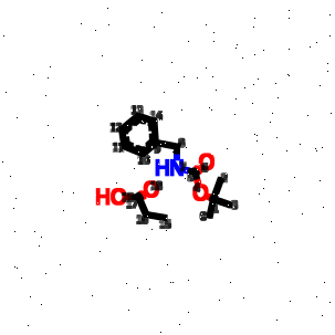 CC(C)(C)OC(=O)NCc1ccccc1.CCC(=O)O